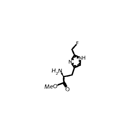 COC(=O)[C@@H](N)Cc1c[nH]c(CF)n1